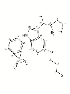 CCCCCc1ccc2[nH]cc(C(C)C3CCCN3)c2c1.O=S1(=O)c2ccccc21